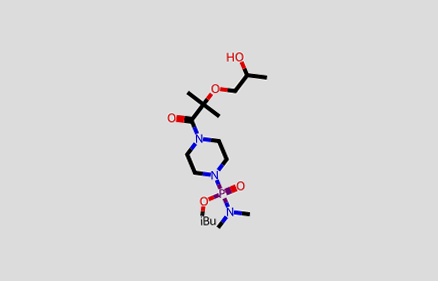 CCC(C)OP(=O)(N(C)C)N1CCN(C(=O)C(C)(C)OCC(C)O)CC1